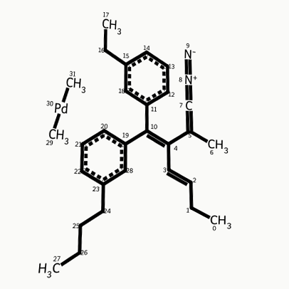 CCC=CC(C(C)=C=[N+]=[N-])=C(c1cccc(CC)c1)c1cccc(CCCC)c1.[CH3][Pd][CH3]